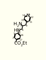 CCOC(=O)c1ccc(NCC(N)Cc2ccncc2)cc1